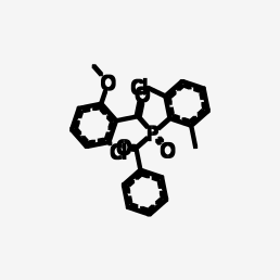 COc1cccc(Cl)c1C(=O)P(=O)(C(=O)c1ccccc1)c1c(C)cccc1Cl